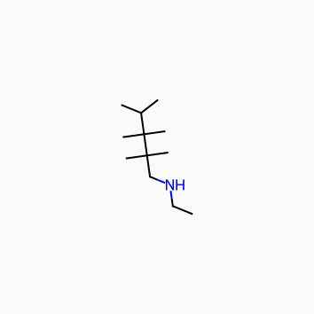 CCNCC(C)(C)C(C)(C)C(C)C